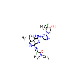 CC(C)c1cnc(N2CC(F)(C(=O)N(C)C)C2)c2cnc(Nc3ccnc(N4CC[C@@H](O)[C@@](C)(F)C4)n3)cc12